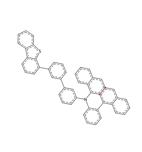 c1cc(-c2cccc(N(c3ccccc3-c3cccc4ccccc34)c3cccc4ccccc34)c2)cc(-c2cccc3c2sc2ccccc23)c1